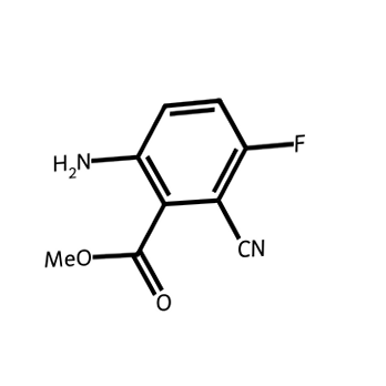 COC(=O)c1c(N)ccc(F)c1C#N